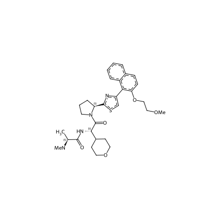 CN[C@@H](C)C(=O)N[C@H](C(=O)N1CCC[C@H]1c1nc(-c2c(OCCOC)ccc3ccccc23)cs1)C1CCOCC1